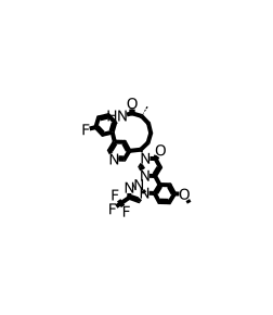 COc1ccc(-n2cc(C(F)(F)F)nn2)c(-c2cc(=O)n([C@H]3CCC[C@@H](C)C(=O)Nc4ccc(F)cc4-c4cncc3c4)cn2)c1